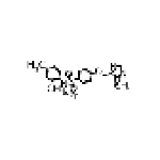 Cc1ccc(N(CC(C)C)S(=O)(=O)c2ccc(OCc3ncnn3C)cc2)c(C)c1